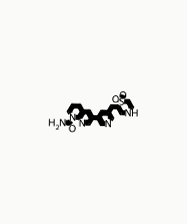 NC(=O)N1CCCc2cc(-c3cncc(CC4CNCCS4(=O)=O)c3)cnc21